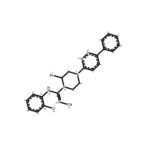 CC(C)C1CN(c2ccc(-c3ccccc3)nn2)CCN1/C(=N\C#N)Nc1ccccc1Cl